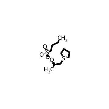 CC(=O)C[S+]1CCCC1.CCCCS(=O)(=O)[O-]